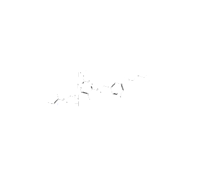 C/C=C(\C)NCNc1nc(NC)nc(NCc2cncc(OCCCC)c2)c1C